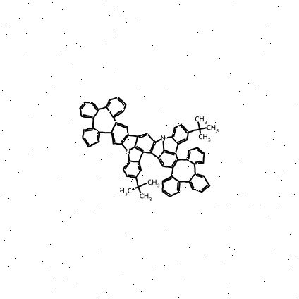 CC(C)(C)c1ccc2c(c1)c1c3c(cc4c5c6c7cc(C(C)(C)C)ccc7n7c8cc9c(cc8c(cc5n2c41)c67)-c1ccccc1-c1ccccc1-c1ccccc1-9)-c1ccccc1-c1ccccc1-c1ccccc1-3